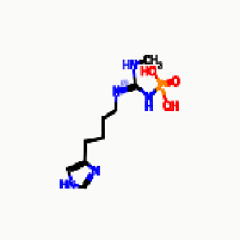 CN/C(=N/CCCCc1c[nH]cn1)NP(=O)(O)O